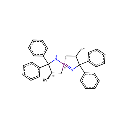 CC(C)C1C[P@]2(=NC1(c1ccccc1)c1ccccc1)C[C@@H](C(C)C)C(c1ccccc1)(c1ccccc1)N2